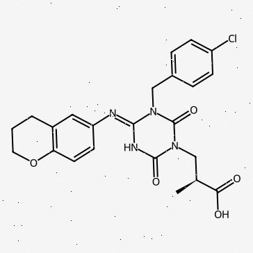 C[C@@H](Cn1c(=O)[nH]/c(=N\c2ccc3c(c2)CCCO3)n(Cc2ccc(Cl)cc2)c1=O)C(=O)O